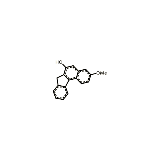 COc1ccc2c3c(c(O)cc2c1)Cc1ccccc1-3